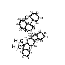 CC1(C)c2ccccc2-c2cc3c4ccccc4n(-c4nc5c6c(cccc6n4)Oc4ccccc4-5)c3cc21